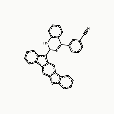 N#Cc1cccc(C2=NC(n3c4ccccc4c4cc5oc6ccccc6c5cc43)Nc3ccccc32)c1